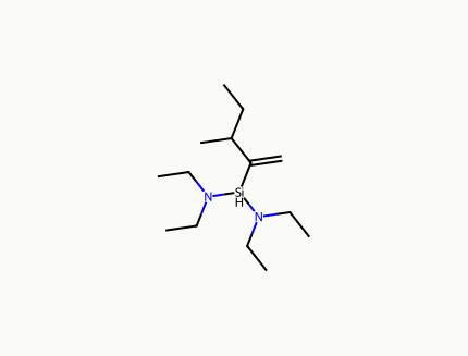 C=C(C(C)CC)[SiH](N(CC)CC)N(CC)CC